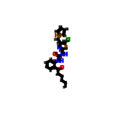 CCCCCC(=O)c1ccccc1NC(=O)Nc1nc(C[SH]2C=CC=C2)c(Cl)s1